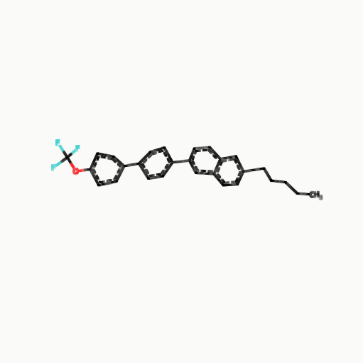 CCCCCc1ccc2cc(-c3ccc(-c4ccc(OC(F)(F)F)cc4)cc3)ccc2c1